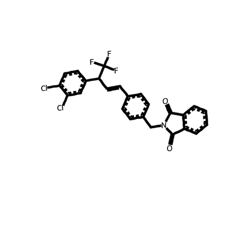 O=C1c2ccccc2C(=O)N1Cc1ccc(/C=C/C(c2ccc(Cl)c(Cl)c2)C(F)(F)F)cc1